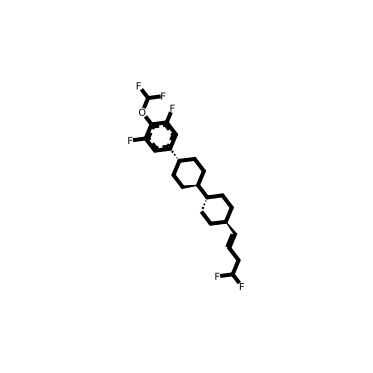 Fc1cc([C@H]2CC[C@H]([C@H]3CC[C@H](C=CCC(F)F)CC3)CC2)cc(F)c1OC(F)F